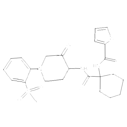 CS(=O)(=O)c1ccccc1N1CCC(NC(=O)C2(NC(=O)c3ccco3)CCCCC2)C(=O)C1